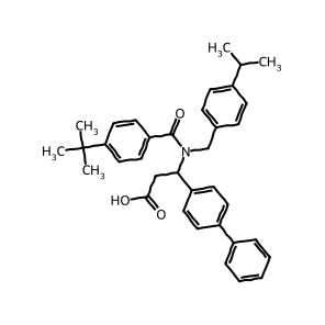 CC(C)c1ccc(CN(C(=O)c2ccc(C(C)(C)C)cc2)C(CC(=O)O)c2ccc(-c3ccccc3)cc2)cc1